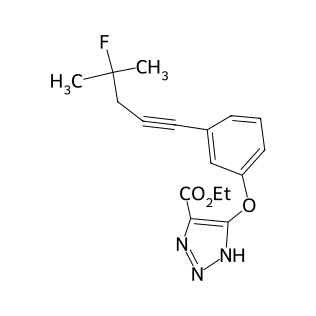 CCOC(=O)c1nn[nH]c1Oc1cccc(C#CCC(C)(C)F)c1